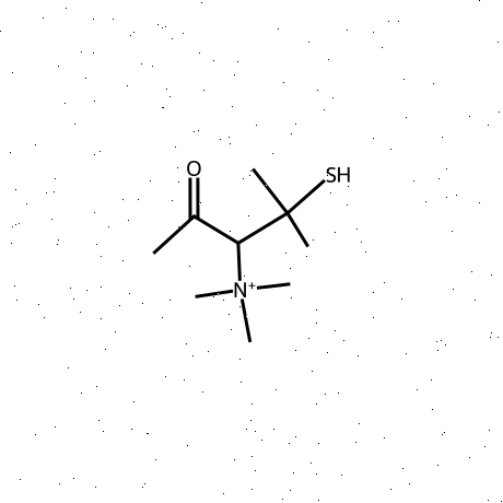 CC(=O)C(C(C)(C)S)[N+](C)(C)C